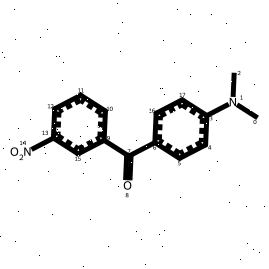 CN(C)c1ccc(C(=O)c2cccc([N+](=O)[O-])c2)cc1